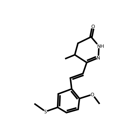 COc1ccc(SC)cc1C=CC1=NNC(=O)CC1C